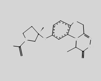 CC1C(=O)NN=C2COc3ccc(N[C@@]4(C)CCN(C(=O)O)C4)cc3N21